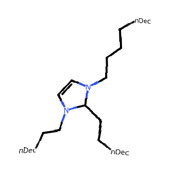 CCCCCCCCCCCCCCN1C=CN(CCCCCCCCCCCC)C1CCCCCCCCCCCC